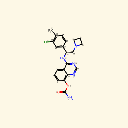 NC(=O)Oc1cccc2c(N[C@H](CN3CCC3)c3ccc(C(F)(F)F)c(Cl)c3)ncnc12